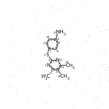 Cc1nc(Sc2ccc(N)cc2)nc(C)c1C